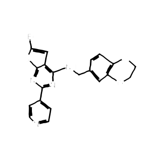 CCc1cc2c(NCc3ccc4c(c3)OCCO4)nc(-c3ccncc3)nc2s1